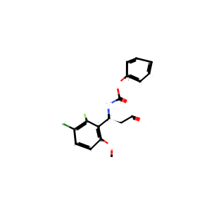 COc1ccc(Cl)c(F)c1[C@H](CC=O)NC(=O)Oc1ccccc1